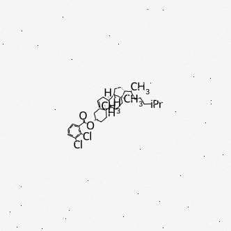 CC(C)CCC[C@@H](C)[C@H]1CC[C@H]2[C@@H]3CC=C4C[C@@H](OC(=O)c5cccc(Cl)c5Cl)CC[C@]4(C)[C@H]3CC[C@]12C